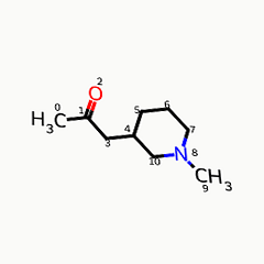 CC(=O)CC1CCCN(C)C1